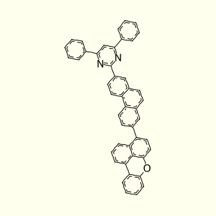 c1ccc(-c2cc(-c3ccccc3)nc(-c3ccc4c(ccc5cc(-c6ccc7c8c(cccc68)-c6ccccc6O7)ccc54)c3)n2)cc1